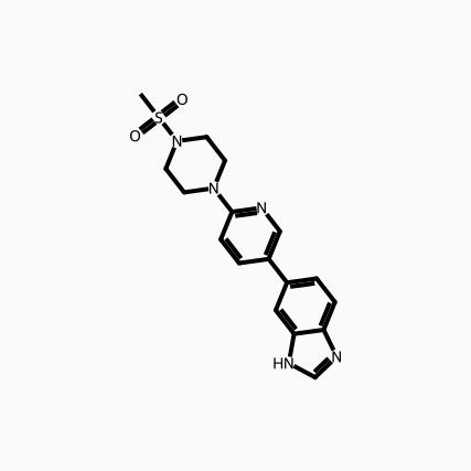 CS(=O)(=O)N1CCN(c2ccc(-c3ccc4nc[nH]c4c3)cn2)CC1